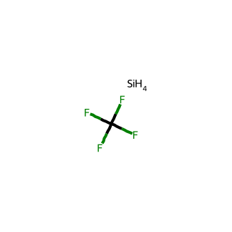 FC(F)(F)F.[SiH4]